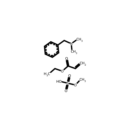 C=CC(=O)OCC.CN(C)Cc1ccccc1.COS(=O)(=O)O